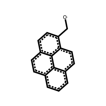 [O]Cc1ccc2ccc3cccc4ccc1c2c34